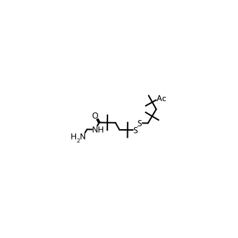 CC(=O)C(C)(C)CC(C)(C)CSSC(C)(C)CCC(C)(C)C(=O)NCN